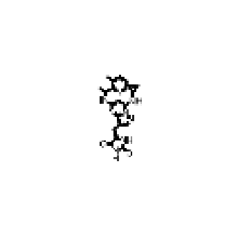 Cc1cccnc1C(C)Nc1cc(NC2CC2)n2ncc(/C=C3\NC(=O)NC3=O)c2n1